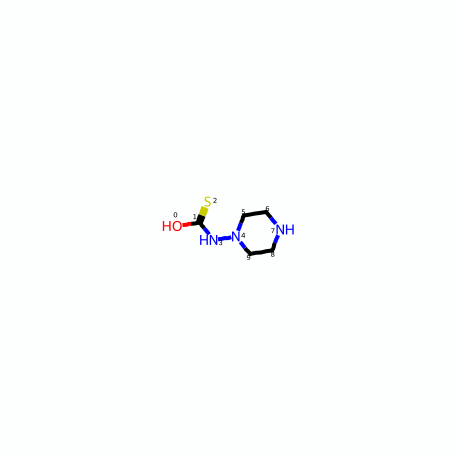 OC(=S)NN1CCNCC1